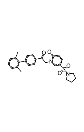 Cc1cccc(C)c1-c1ccc(C(=O)Cn2cc(S(=O)(=O)N3CCCC3)ccc2=O)cc1